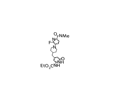 CCOC(=O)Nc1cc(CC2CCN(c3ccc(C(=O)NC)nc3F)CC2)cc(=O)[nH]1